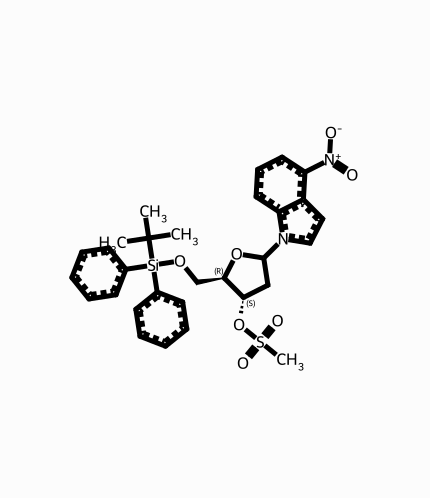 CC(C)(C)[Si](OC[C@H]1OC(n2ccc3c([N+](=O)[O-])cccc32)C[C@@H]1OS(C)(=O)=O)(c1ccccc1)c1ccccc1